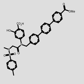 COC(=O)c1ccc(-c2ccc(-c3ccc(CN(C(=O)CN(C)S(=O)(=O)c4ccc(C)cc4)c4ccc(C(=O)O)c(O)c4)cc3)cc2)cc1